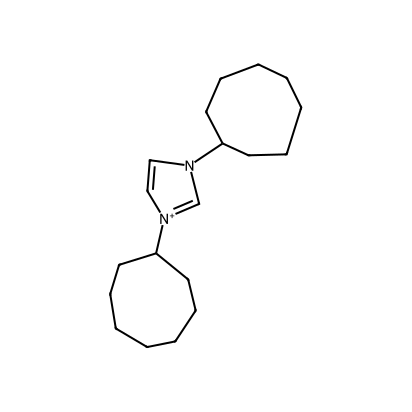 c1c[n+](C2CCCCCCC2)cn1C1CCCCCCC1